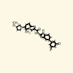 CO[C@H]1CCN(c2ccc3nc(C(=O)Nc4nc5cc(-c6cc(F)cc(Cl)c6)ccc5[nH]4)cn3c2C)C1